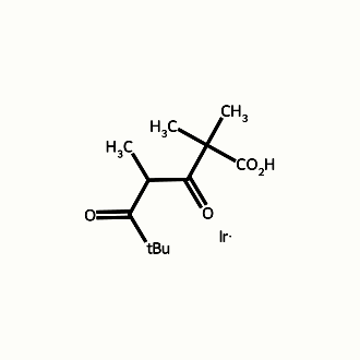 CC(C(=O)C(C)(C)C)C(=O)C(C)(C)C(=O)O.[Ir]